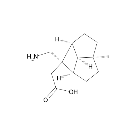 C[C@]12CC[C@@H]3[C@H]1[C@H](CC2)[C@]3(CN)CC(=O)O